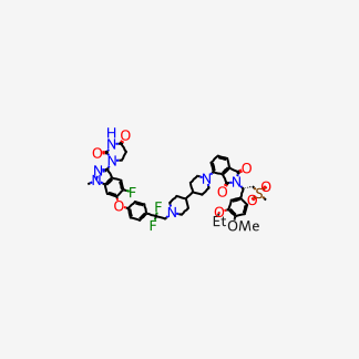 CCOc1cc([C@@H](CS(C)(=O)=O)N2C(=O)c3cccc(N4CCC(C5CCN(CC(F)(F)c6ccc(Oc7cc8c(cc7F)c(N7CCC(=O)NC7=O)nn8C)cc6)CC5)CC4)c3C2=O)ccc1OC